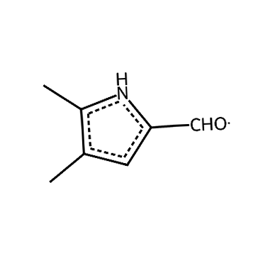 Cc1cc([C]=O)[nH]c1C